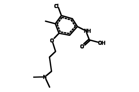 Cc1c(Cl)cc(NC(=O)O)cc1OCCCN(C)C